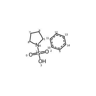 O=S(=O)(O)N1CCCC1.c1ccccc1